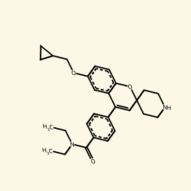 CCN(CC)C(=O)c1ccc(C2=CC3(CCNCC3)Oc3ccc(OCC4CC4)cc32)cc1